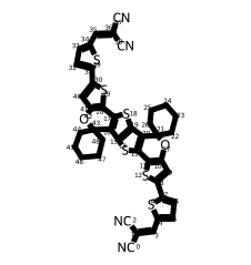 N#CC(C#N)=Cc1ccc(-c2cc3c(s2)-c2sc4c5c(sc4c2C2(CCCCC2)O3)-c2sc(-c3ccc(C=C(C#N)C#N)s3)cc2OC52CCCCC2)s1